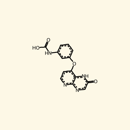 O=C(O)Nc1cccc(Oc2ccnc3ncc(=O)[nH]c23)c1